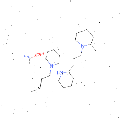 CC1CCCCN1.CCCCN1CCCCC1.CCN1CCCCC1C.CCO.N